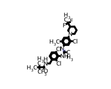 C/C(=N\c1cc(Cl)c(N2CCCC(C(C)(F)F)C2)cc1C)Nc1c(Cl)ccc(CNC(=O)C(C)(C)C(F)(F)F)c1Cl